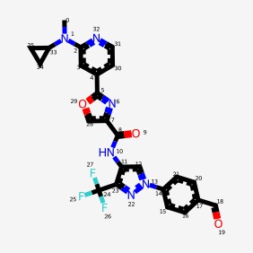 CN(c1cc(-c2nc(C(=O)Nc3cn(-c4ccc(C=O)cc4)nc3C(F)(F)F)co2)ccn1)C1CC1